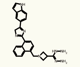 N/N=C(\NN)C1CN(Cc2ccc(C3=NCC(c4ccc5[nH]ccc5c4)=N3)c3ccccc23)C1